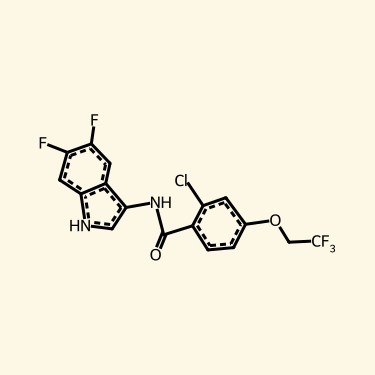 O=C(Nc1c[nH]c2cc(F)c(F)cc12)c1ccc(OCC(F)(F)F)cc1Cl